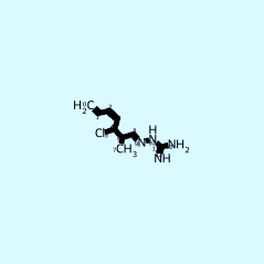 C=C/C=C\C(Cl)C(C)/C=N/NC(=N)N